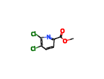 COC(=O)c1ccc(Cl)c(Cl)n1